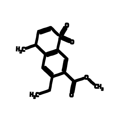 CCc1cc2c(cc1C(=O)OC)S(=O)(=O)C=CC2C